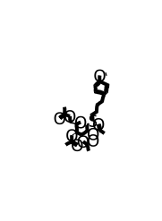 COc1ccc(CCCCS[C@@H]2O[C@H](COC(C)=O)[C@@H](OC(C)=O)[C@H](OC(C)=O)[C@H]2OC(C)=O)cc1